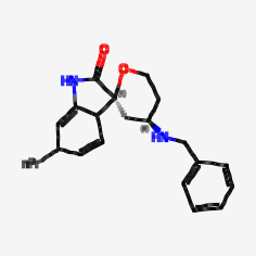 CCCC1C=CC2C(=C1)NC(=O)[C@]21C[C@H](NCc2ccccc2)CCO1